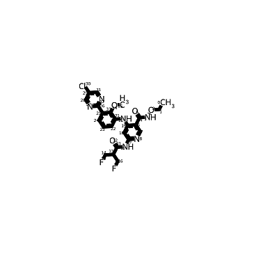 CCONC(=O)c1cnc(NC(=O)C(CF)CF)cc1Nc1cccc(-c2ncc(Cl)cn2)c1OC